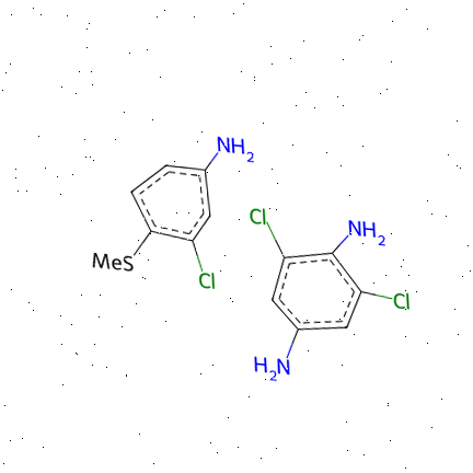 CSc1ccc(N)cc1Cl.Nc1cc(Cl)c(N)c(Cl)c1